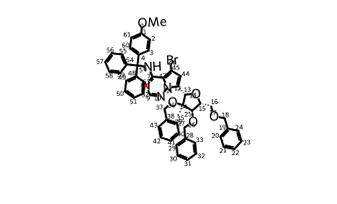 COc1ccc(C(Nc2ncnn3c([C@@H]4O[C@H](COCc5ccccc5)[C@@H](OCc5ccccc5)[C@@]4(C)OCc4ccccc4)cc(Br)c23)(c2ccccc2)c2ccccc2)cc1